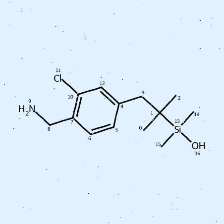 CC(C)(Cc1ccc(CN)c(Cl)c1)[Si](C)(C)O